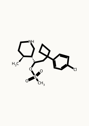 C[C@H]1CCNC[C@@H]1C(CC1(c2ccc(Cl)cc2)CCC1)OS(C)(=O)=O